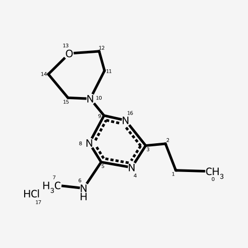 CCCc1nc(NC)nc(N2CCOCC2)n1.Cl